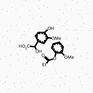 CCC(=O)Oc1ccccc1OC.COc1cc(C(O)C(=O)O)ccc1O